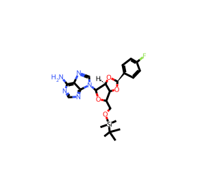 CC(C)(C)[Si](C)(C)OCC1OC(n2cnc3c(N)ncnc32)[C@H]2O[C@@H](c3ccc(F)cc3)OC12